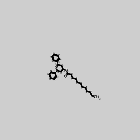 CCCCCCCCCCCC(=O)OC1C[C@@H](c2ccccc2)S[C@@H](c2ccccc2)C1